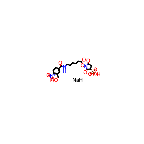 O=C(CCCCCNC(=O)c1ccc([N+](=O)[O-])c(CO)c1)ON1C(=O)CC(S(=O)(=O)O)C1=O.[NaH]